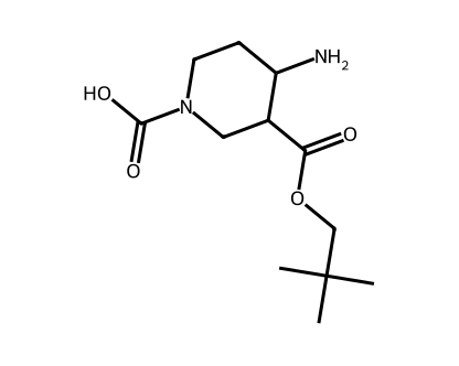 CC(C)(C)COC(=O)C1CN(C(=O)O)CCC1N